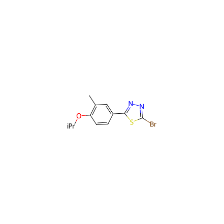 Cc1cc(-c2nnc(Br)s2)ccc1OC(C)C